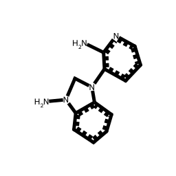 Nc1ncccc1N1CN(N)c2ccccc21